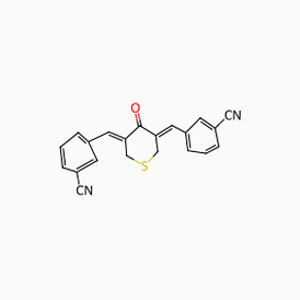 N#Cc1cccc(/C=C2\CSC/C(=C\c3cccc(C#N)c3)C2=O)c1